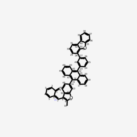 C=c1cccc/c1=C/c1c(C)oc2cc(-c3c4ccccc4c(-c4cccc(-c5cccc6c5oc5ccccc56)c4)c4ccccc34)ccc12